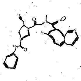 CN(CC(=O)N1CC(C(=O)Nc2ccccc2)CC1C#N)C(=O)c1c(F)ccc2ccncc12